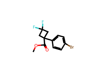 COC(=O)C1(c2ccc(Br)cc2)CC(F)(F)C1